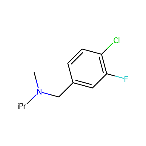 CC(C)N(C)Cc1ccc(Cl)c(F)c1